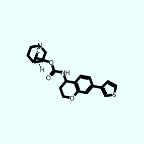 O=C(NC1CCOc2cc(-c3ccsc3)ccc21)O[C@@H]1CN2CCC1CC2